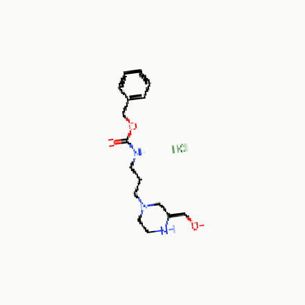 Cl.O=C(NCCCN1CCNC(CO)C1)OCc1ccccc1